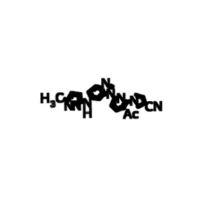 CC(=O)c1ccc(-n2cnc3ccc(Nc4ccc(C)nn4)cc32)nc1N1CCC(C#N)C1